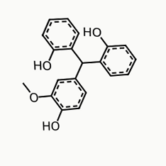 COc1cc(C(c2ccccc2O)c2ccccc2O)ccc1O